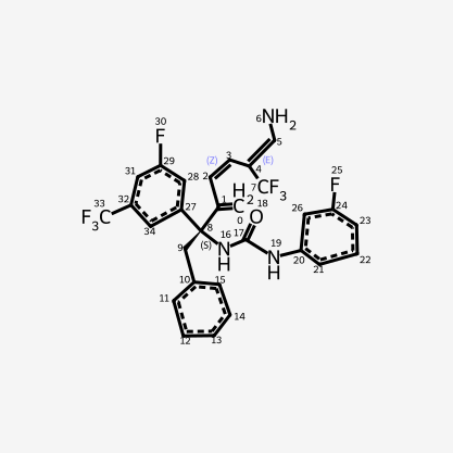 C=C(/C=C\C(=C/N)C(F)(F)F)[C@](Cc1ccccc1)(NC(=O)Nc1cccc(F)c1)c1cc(F)cc(C(F)(F)F)c1